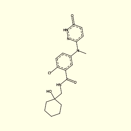 CN(c1ccc(Cl)c(C(=O)NCC2(O)CCCCC2)c1)c1ccc(=O)[nH]n1